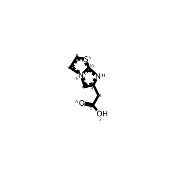 O=C(O)Cc1cn2ccsc2n1